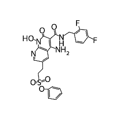 Nc1c(C(=O)NCc2ccc(F)cc2F)c(=O)n(O)c2ncc(CCS(=O)(=O)Oc3ccccc3)cc12